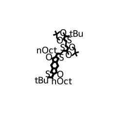 CCCCCCCCc1c(-c2sc(-c3sc(C(C)(C)C)c4c3OCC(C)(C)CO4)c3c2OCC(C)(C)CO3)sc2c1c(=O)c1cc3c(cc12)c(=O)c1c(CCCCCCCC)c(C(C)(C)C)sc13